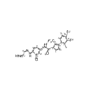 Cc1c(-n2ncc(C(=O)Nc3cnc(N/N=C\C=N)c(Cl)c3)c2C(F)(F)F)ccc(F)c1F